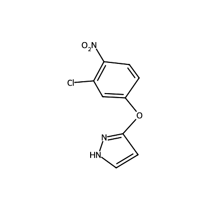 O=[N+]([O-])c1ccc(Oc2cc[nH]n2)cc1Cl